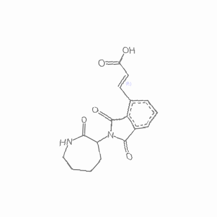 O=C(O)/C=C/c1cccc2c1C(=O)N(C1CCCCNC1=O)C2=O